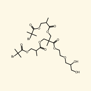 CC(COC(=O)C(C)(C)Br)C(=O)OCC(C)(COC(=O)C(C)COC(=O)C(C)(C)Br)C(=O)OCCOCC(O)CO